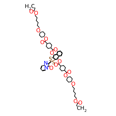 C=CC(=O)OCCCCCCOC1CCC(OC(=O)C2CCC(C(=O)Oc3c4c(c(OC(=O)C5CCC(C(=O)OC6CCC(OCCCCCCOC(=O)C=C)CC6)CC5)c5ccccc35)SC(=C3N=C5C=CC=CN5C3=O)S4)CC2)CC1